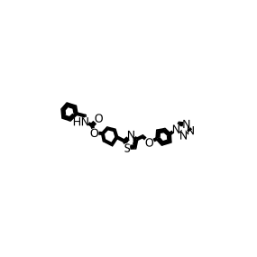 O=C(NCc1ccccc1)OC1CCC(c2nc(COc3ccc(-n4cnnn4)cc3)cs2)CC1